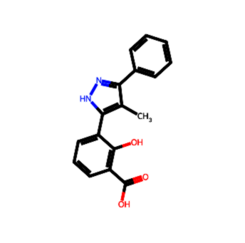 Cc1c(-c2ccccc2)n[nH]c1-c1cccc(C(=O)O)c1O